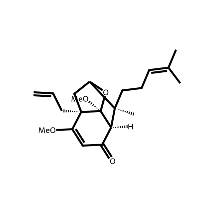 C=CC[C@]12CC3O[C@@]1(OC)[C@H](C(=O)C=C2OC)[C@]3(C)CCC=C(C)C